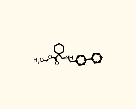 CCOC(=O)C1(CNCc2ccc(-c3ccccc3)cc2)CCCCC1